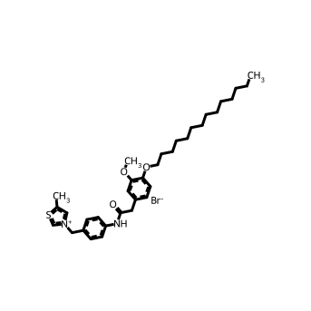 CCCCCCCCCCCCCCOc1ccc(CC(=O)Nc2ccc(C[n+]3csc(C)c3)cc2)cc1OC.[Br-]